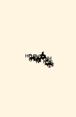 Cc1cc(Nc2nccc(C(F)(F)F)n2)cc(-c2cnn(C[C@H](O)C(=O)O)c2)c1